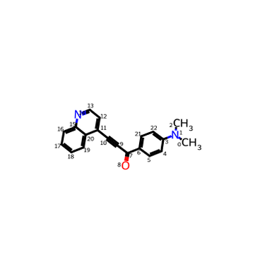 CN(C)c1ccc(C(=O)C#Cc2ccnc3ccccc23)cc1